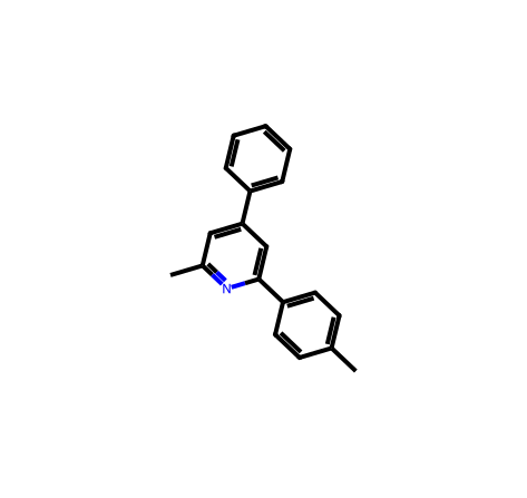 Cc1ccc(-c2cc(-c3ccccc3)cc(C)n2)cc1